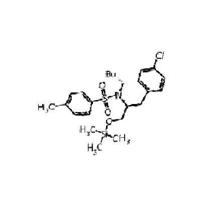 CC[C@@H](C)CN(C(CO[Si](C)(C)C)Cc1ccc(Cl)cc1)S(=O)(=O)c1ccc(C)cc1